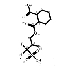 O=C(O)C1CCCCC1C(=O)OCC(F)C(F)(F)S(=O)(=O)O